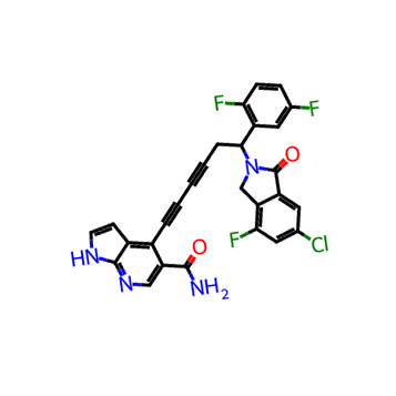 NC(=O)c1cnc2[nH]ccc2c1C#CC#CCC(c1cc(F)ccc1F)N1Cc2c(F)cc(Cl)cc2C1=O